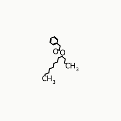 CCCCCCCCC(CCC)OC(=O)Cc1ccccc1